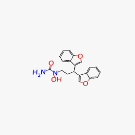 NC(=O)N(O)CCC(c1coc2ccccc12)c1coc2ccccc12